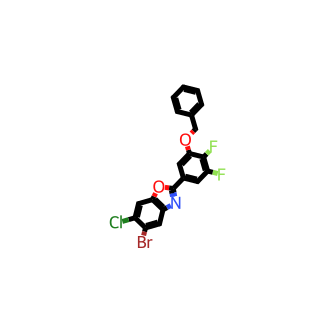 Fc1cc(-c2nc3cc(Br)c(Cl)cc3o2)cc(OCc2ccccc2)c1F